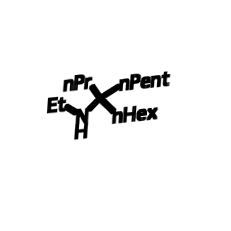 CCCCCCC(CCC)(CCCCC)NCC